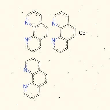 [Co].c1cnc2c(c1)ccc1cccnc12.c1cnc2c(c1)ccc1cccnc12.c1cnc2c(c1)ccc1cccnc12